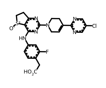 O=C(O)Cc1ccc(Nc2nc(N3CC=C(c4ncc(Cl)cn4)CC3)nc3c2[S+]([O-])CC3)cc1F